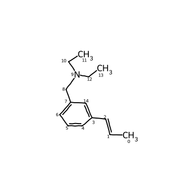 C/C=C/c1cccc(CN(CC)CC)c1